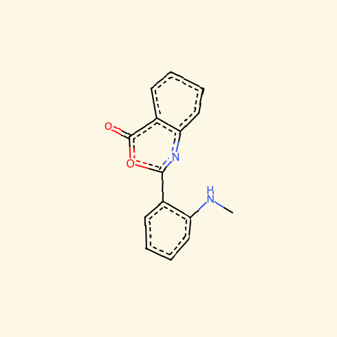 CNc1ccccc1-c1nc2ccccc2c(=O)o1